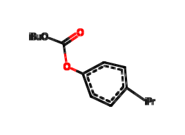 CC(C)COC(=O)Oc1ccc(C(C)C)cc1